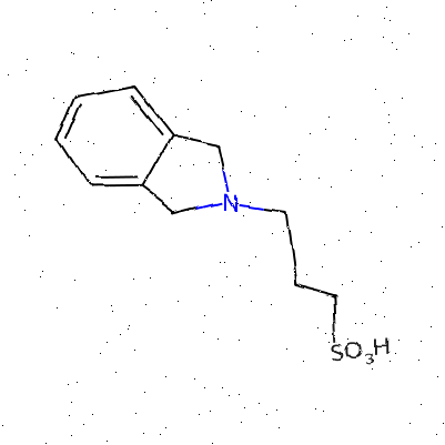 O=S(=O)(O)CCCN1Cc2ccccc2C1